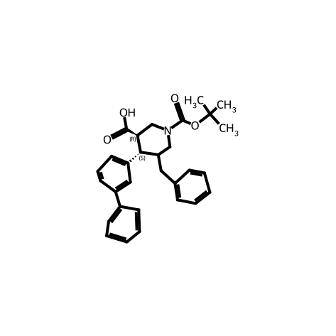 CC(C)(C)OC(=O)N1CC(Cc2ccccc2)[C@H](c2cccc(-c3ccccc3)c2)[C@@H](C(=O)O)C1